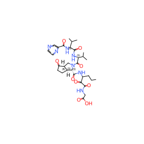 CCCC(NC(=O)[C@@H]1[C@H]2CCC(=O)[C@H]2CN1C(=O)[C@@H](NC(=O)[C@@H](NC(=O)c1cnccn1)C(C)C)C(C)C)C(=O)C(=O)NCC(=O)O